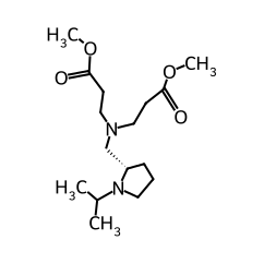 COC(=O)CCN(CCC(=O)OC)C[C@@H]1CCCN1C(C)C